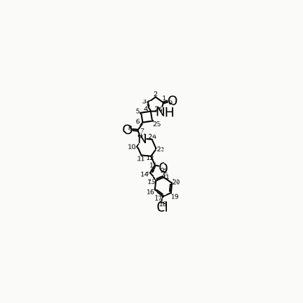 O=C1CCC2(CC(C(=O)N3CCC(c4cc5cc(Cl)ccc5o4)CC3)C2)N1